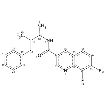 C[C@H](NC(=O)c1cnc2c(F)c(F)ccc2c1)C(Cc1ccccc1)C(F)(F)F